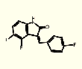 O=C1Nc2ccc(F)c(F)c2C1=Cc1ccc(F)cc1